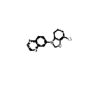 ClC1=C2OCN(c3ccc4nccnc4c3)C2CCC1